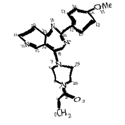 C=CC(=O)N1CCN(c2nc(-c3ccc(OC)cc3)nc3ccncc23)CC1